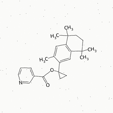 Cc1cc2c(cc1C1(OC(=O)c3cccnc3)CC1)C(C)(C)CCC2(C)C